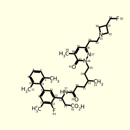 Cc1cc(-c2c(C)cccc2C)cc(C(CC(=O)O)NC(=O)CCC(C)CCn2nc(CCN3CC(CF)C3)cc(C)c2=O)c1F